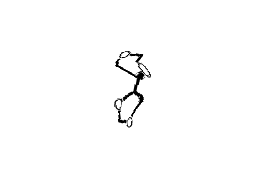 C1OCC(C2COCO2)O1